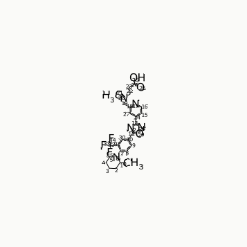 CC1CCCCN1c1ccc(-c2nc(-c3ccnc(CN(C)CCC(=O)O)c3)no2)cc1C(F)(F)F